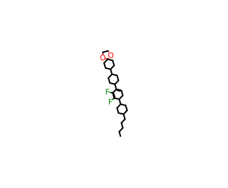 CCCCCC1CCC(C2CC=C(C3CCC(C4CCC5(CC4)OCCO5)CC3)C(F)=C2F)CC1